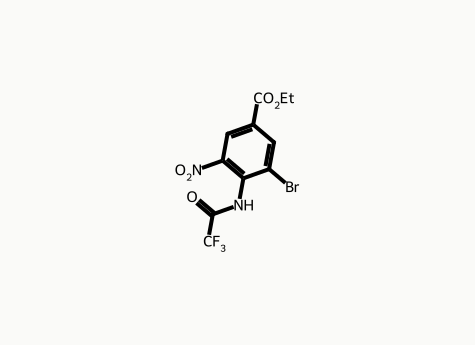 CCOC(=O)c1cc(Br)c(NC(=O)C(F)(F)F)c([N+](=O)[O-])c1